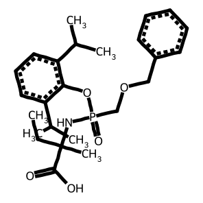 CCC(C)(NP(=O)(COCc1ccccc1)Oc1c(C(C)C)cccc1C(C)C)C(=O)O